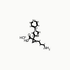 Cl.NCCCC1CC1(C(=O)O)c1cn(-c2ccncc2)cn1